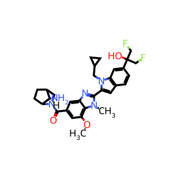 COc1cc(C(=O)N2CC3CCC2[C@@H]3N)cc2nc(-c3cc4ccc(C(O)(CF)CF)cc4n3CC3CC3)n(C)c12